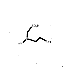 CCCN(CCO)CS(=O)(=O)O